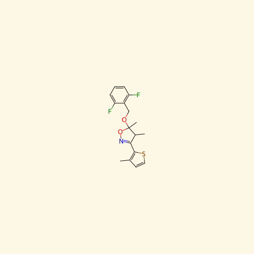 Cc1ccsc1C1=NOC(C)(OCc2c(F)cccc2F)C1C